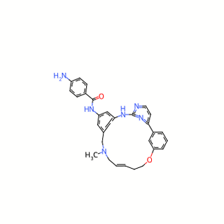 CN1C/C=C/CCOc2cccc(c2)-c2ccnc(n2)Nc2cc(cc(NC(=O)c3ccc(N)cc3)c2)C1